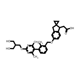 Cc1nc(OCC(CO)CO)nc(C)c1-c1cccc(COc2ccc3c(c2)CC2(CC2)C3CC(=O)O)c1C